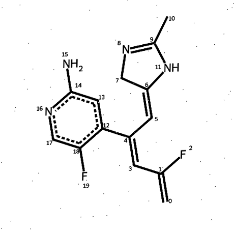 C=C(F)/C=C(\C=C1/CN=C(C)N1)c1cc(N)ncc1F